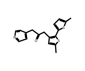 Cc1ccc(-c2sc(C)cc2CC(=O)Cc2ccncc2)s1